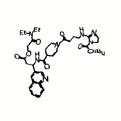 CCN(CC)C(=O)COC(=O)CC(NC(=O)C1CCN(C(=O)CCCNC2=NCCN2C(=O)OCC(C)C)CC1)c1cnc2ccccc2c1